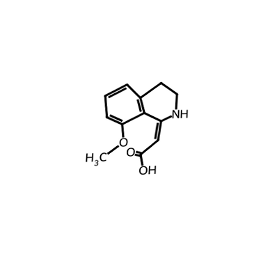 COc1cccc2c1/C(=C\C(=O)O)NCC2